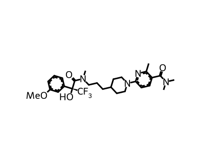 COc1cccc([C@@](O)(C(=O)N(C)CCCC2CCN(c3ccc(C(=O)N(C)C)c(C)n3)CC2)C(F)(F)F)c1